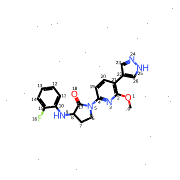 COc1nc(N2CCC(Nc3ccccc3F)C2=O)ccc1-c1cn[nH]c1